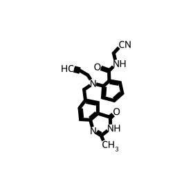 C#CCN(Cc1ccc2nc(C)[nH]c(=O)c2c1)c1ccccc1C(=O)NCC#N